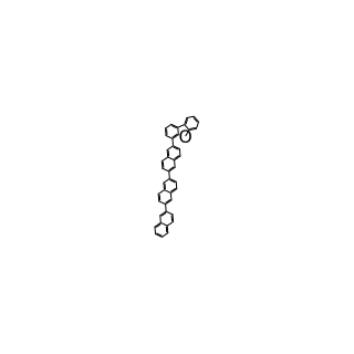 c1ccc2cc(-c3ccc4cc(-c5ccc6cc(-c7cccc8c7oc7ccccc78)ccc6c5)ccc4c3)ccc2c1